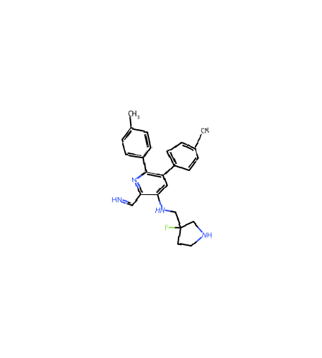 Cc1ccc(-c2nc(C=N)c(NCC3(F)CCNC3)cc2-c2ccc(C#N)cc2)cc1